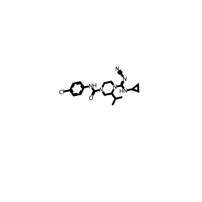 CC(C)C1CN(C(=O)Nc2ccc(Cl)cc2)CCN1/C(=N\C#N)NC1CC1